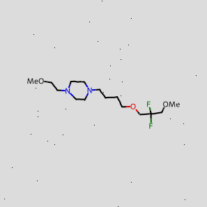 COCCN1CCN(CCCCOCC(F)(F)COC)CC1